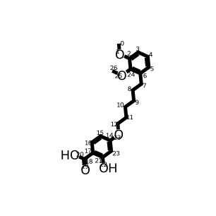 COc1cccc(CCCCCCOc2ccc(C(=O)O)c(O)c2)c1OC